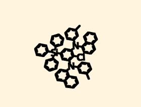 Cc1cccc(N(c2cc([Si](c3ccccc3)(c3ccccc3)c3ccccc3)cc(N(c3cccc(C)c3)c3cccc4ccccc34)c2Cl)c2cccc3ccccc23)c1